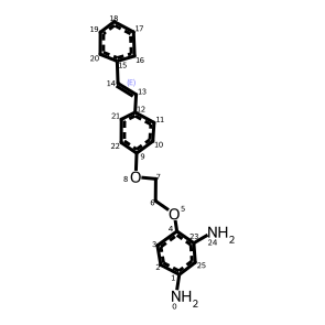 Nc1ccc(OCCOc2ccc(/C=C/c3ccccc3)cc2)c(N)c1